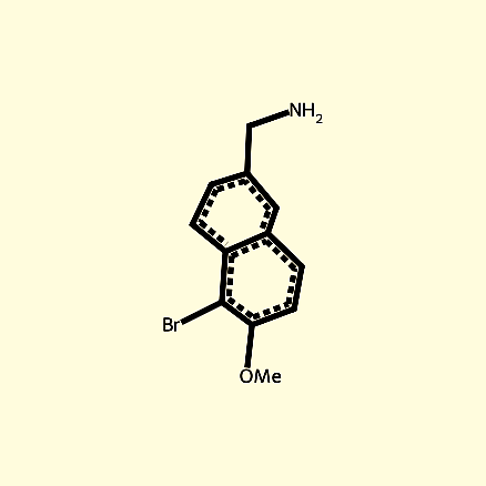 COc1ccc2cc(CN)ccc2c1Br